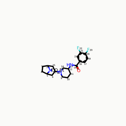 CCOC(=O)N1C2CCC1CC(N1CCCC(NC(=O)c3ccc(F)c(F)c3)C1)C2